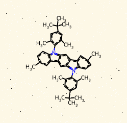 Cc1ccc2c(c1)c1cc3c(cc1n2-c1c(C)cc(C(C)(C)C)cc1C)c1cc(C)ccc1n3-c1c(C)cc(C(C)(C)C)cc1C